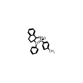 Cc1ccc(S(=O)(=O)NC2c3ccccc3CCC2Oc2ccccc2)cc1